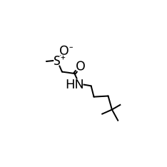 C[S+]([O-])CC(=O)NCCCC(C)(C)C